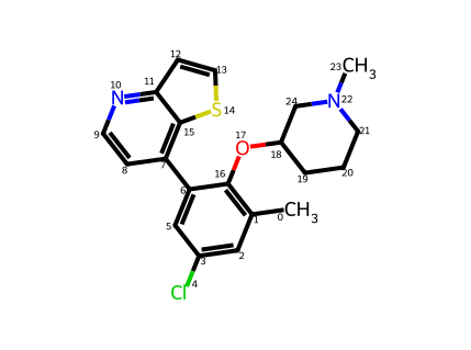 Cc1cc(Cl)cc(-c2ccnc3ccsc23)c1OC1CCCN(C)C1